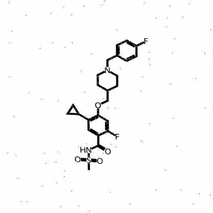 CS(=O)(=O)NC(=O)c1cc(C2CC2)c(OCC2CCN(Cc3ccc(F)cc3)CC2)cc1F